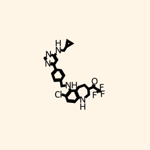 O=C(C1CCc2c(ccc(Cl)c2NCc2ccc(-c3cc(NCC4CC4)ncn3)cc2)NC1)C(F)(F)F